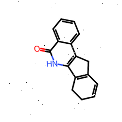 O=c1[nH]c2c(c3ccccc13)CC1=C2CCC=C1